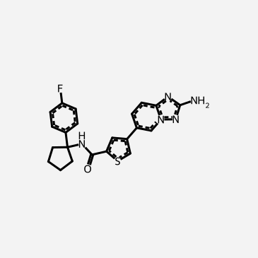 Nc1nc2ccc(-c3csc(C(=O)NC4(c5ccc(F)cc5)CCCC4)c3)cn2n1